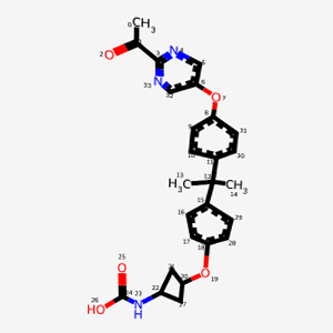 CC(=O)c1ncc(Oc2ccc(C(C)(C)c3ccc(OC4CC(NC(=O)O)C4)cc3)cc2)cn1